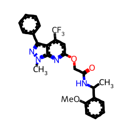 COc1ccccc1C(C)NC(=O)COc1cc(C(F)(F)F)c2c(-c3ccccc3)nn(C)c2n1